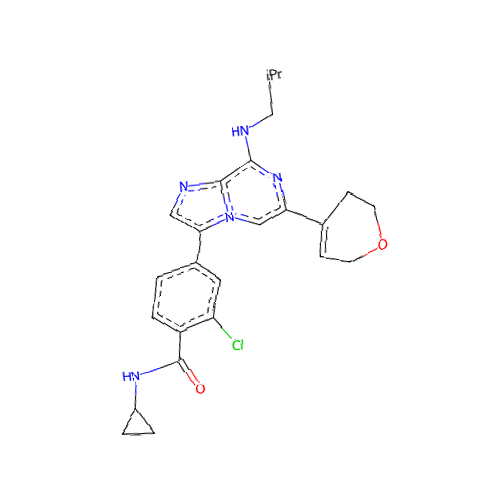 CC(C)CNc1nc(C2=CCOCC2)cn2c(-c3ccc(C(=O)NC4CC4)c(Cl)c3)cnc12